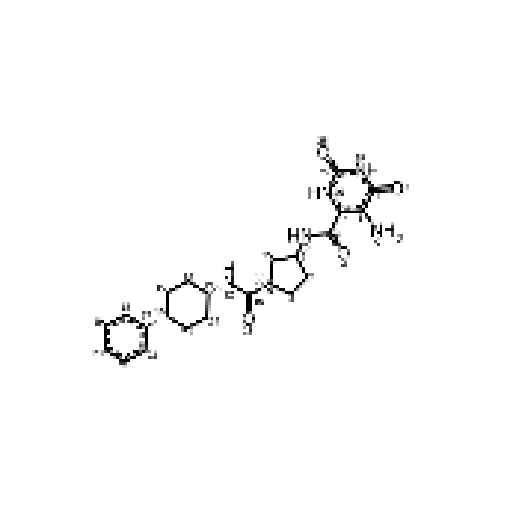 Nc1c(C(=O)NC2CC[C@@H](C(=O)N[C@H]3CC[C@@H](c4ccccc4)CC3)C2)[nH]c(=O)[nH]c1=O